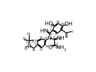 CC(C)c1cc(C(=N)N(C(=N)C(N)=O)c2ccc(CN(C)C(C)(C)C)cc2)c(O)cc1O